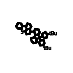 CC(C)(C)c1ccc(C2(c3ccc(C(C)(C)C)cc3)c3ccccc3-c3c(-c4ccc5c6c(cccc46)-c4ccccc4S5)cccc32)cc1